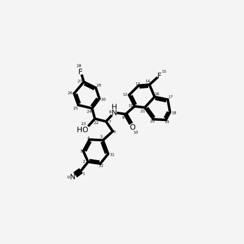 N#Cc1ccc(CC(NC(=O)c2ccc(F)c3ccccc23)C(O)c2ccc(F)cc2)cc1